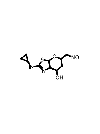 O=NCC1CC(O)C2N=C(NC3CC3)SC2O1